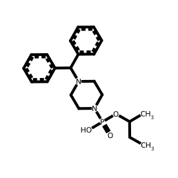 CCC(C)OP(=O)(O)N1CCN(C(c2ccccc2)c2ccccc2)CC1